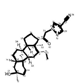 CO[C@@H]1C[C@H]2[C@@H](CC[C@H]3C[C@](C)(O)CC[C@@]32C)[C@@H]2CC[C@H](C(=O)Cn3cc(C#N)cn3)[C@@]12C